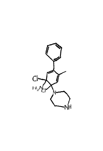 CC1=CC(Cl)(N2CCNCC2)C(N)(Cl)C=C1c1ccccc1